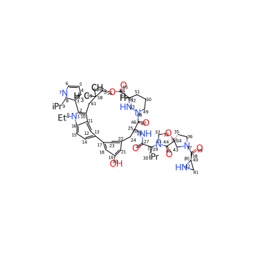 CCn1c(-c2cccnc2C(C)C)c2c3cc(ccc31)-c1cc(O)cc(c1)C[C@H](NC(=O)[C@H](C(C)C)N1CO[C@]3(CCN(C(=O)[C@H]4CN4)C3)C1=O)C(=O)N1CCC[C@H](N1)C(=O)OCC(C)(C)C2